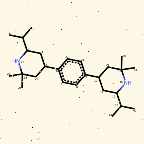 CC(C)C1CC(c2ccc(C3CC(C(C)C)NC(C)(C)C3)cc2)CC(C)(C)N1